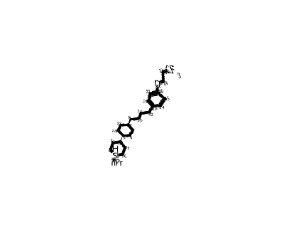 CCC[SiH]1CCC([C@H]2CC[C@H](CCCCc3ccc(OCCC(F)(F)F)cc3)CC2)CC1